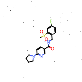 CS(=O)(=O)c1cc(F)ccc1CNC(=O)c1ccc(N2CCCC2)nc1